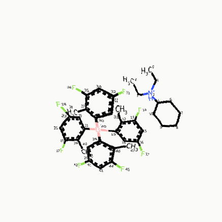 CC[NH+](CC)C1CCCCC1.Cc1c(F)cc(F)cc1[B-](c1cc(F)cc(F)c1C)(c1cc(F)cc(F)c1C)c1cc(F)cc(F)c1C